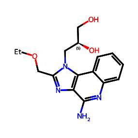 CCOCc1nc2c(N)nc3ccccc3c2n1C[C@H](O)CO